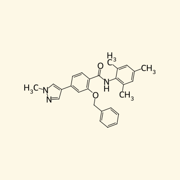 Cc1cc(C)c(NC(=O)c2ccc(-c3cnn(C)c3)cc2OCc2ccccc2)c(C)c1